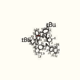 Cc1cc(N(c2ccc3c(c2)C(C)(C)CCC3(C)C)c2ccc3c(c2)C(C)(C)CCC3(C)C)cc(N(c2ccc3c(c2)oc2ccc(C(C)(C)C)cc23)c2ccc(C(C)(C)C)cc2-c2ccccc2)c1